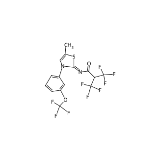 Cc1cn(-c2cccc(OC(F)(F)F)c2)c(=NC(=O)C(C(F)(F)F)C(F)(F)F)s1